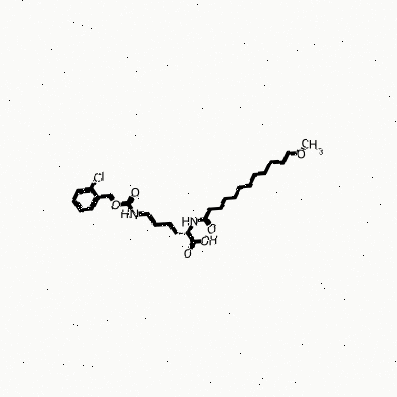 COCCCCCCCCCCCC(=O)N[C@@H](CCCCNC(=O)OCc1ccccc1Cl)C(=O)O